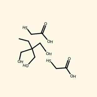 CCC(CO)(CO)CO.O=C(O)CS.O=C(O)CS